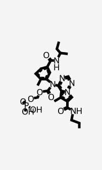 CCCNC(=O)c1cn2ncnc(N(C(=O)OCOP(=O)(O)O)c3cc(C(=O)NC(C)CC)ccc3C)c2c1C